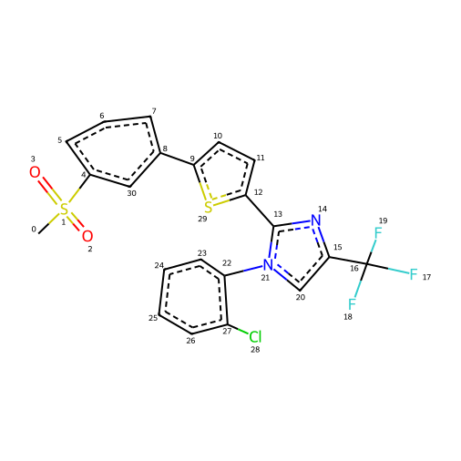 CS(=O)(=O)c1cccc(-c2ccc(-c3nc(C(F)(F)F)cn3-c3ccccc3Cl)s2)c1